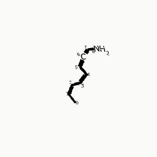 C/C=C\C=C/C=C=CN